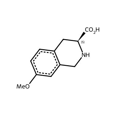 COc1ccc2c(c1)CN[C@H](C(=O)O)C2